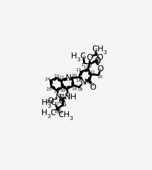 CC[C@@]1(OC(C)=O)C(=O)OCc2c1cc1n(c2=O)Cc2c-1nc1cccc([N+](=O)[O-])c1c2NCCC(C)(C)C